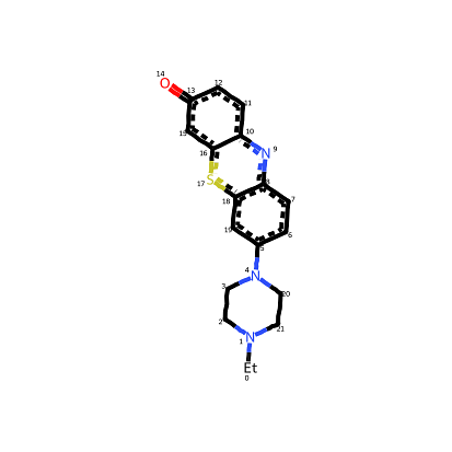 CCN1CCN(c2ccc3nc4ccc(=O)cc-4sc3c2)CC1